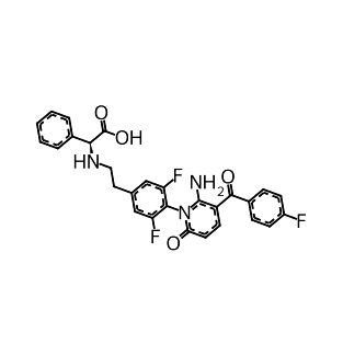 Nc1c(C(=O)c2ccc(F)cc2)ccc(=O)n1-c1c(F)cc(CCN[C@H](C(=O)O)c2ccccc2)cc1F